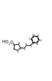 O=C(O)C1CCC(CCCc2ccccc2)C1